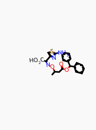 CC(CC(=O)OC(c1ccccc1)c1ccccc1)ON=C(C(=O)O)c1csc(N)n1